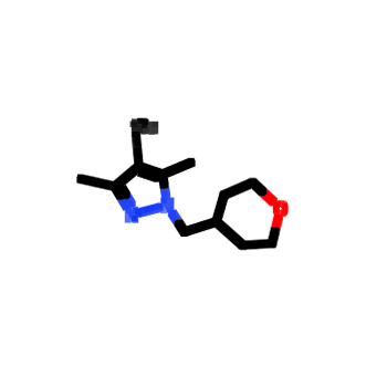 Cc1nn(CC2CCOCC2)c(C)c1C(C)(C)C